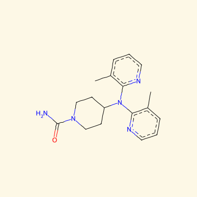 Cc1cccnc1N(c1ncccc1C)C1CCN(C(N)=O)CC1